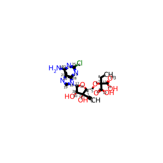 C#C[C@@]1(O)[C@@H](COC(CC)(C(=O)O)C(=O)O)O[C@@H](n2cnc3c(N)nc(Cl)nc32)[C@@H]1O